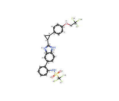 O=S(=O)(Nc1ccccc1-c1ccc2[nH]c(C3CC3c3ccc(OCC(F)(F)F)cc3)nc2c1)C(F)(F)F